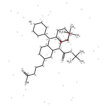 CC(C)(C)OC(=O)N(C(=O)OC(C)(C)C)C1CC(CCCC(=O)O)CCC1P(C1CCCCC1)C1CCCCC1.I